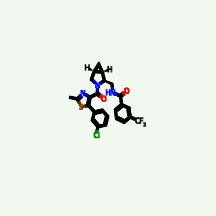 Cc1nc(C(=O)N2C[C@H]3C[C@H]3[C@H]2CNC(=O)c2cccc(C(F)(F)F)c2)c(-c2cccc(Cl)c2)s1